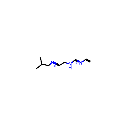 C=C/N=C/NC/C=N/CC(C)C